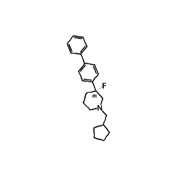 F[C@@]1(c2ccc(-c3ccccc3)cc2)CCCN(CC2CCCC2)C1